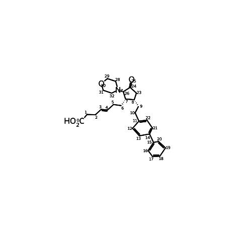 O=C(O)CCC=CCC[C@H]1[C@@H](CCc2ccc(-c3ccccc3)cc2)CC(=O)[C@@H]1N1CCOCC1